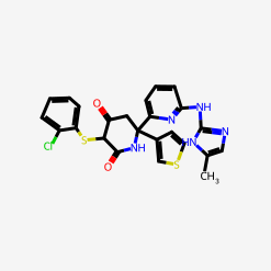 Cc1cnc(Nc2cccc(C3(c4ccsc4)CC(=O)C(Sc4ccccc4Cl)C(=O)N3)n2)[nH]1